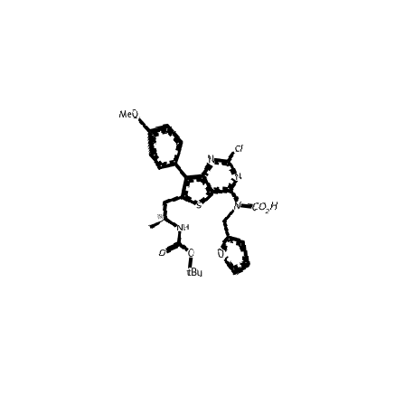 COc1ccc(-c2c(C[C@H](C)NC(=O)OC(C)(C)C)sc3c(N(Cc4ccco4)C(=O)O)nc(Cl)nc23)cc1